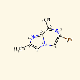 Cc1cn2cc(Br)nc(C#N)c2n1